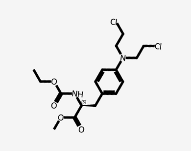 CCOC(=O)N[C@@H](Cc1ccc(N(CCCl)CCCl)cc1)C(=O)OC